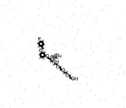 CC(C)(C)[Si](C)(C)OC(CNCCOCCOCCOCCO)COc1cccc(OCc2ccc(F)cc2)c1